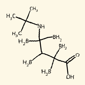 BC(C(B)(B)NC(C)(C)C)C(B)(B)C(=O)O